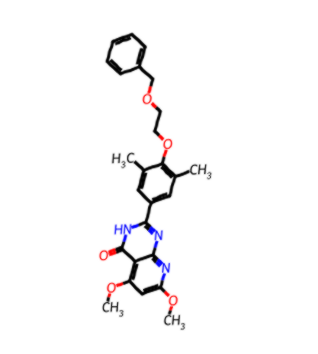 COc1cc(OC)c2c(=O)[nH]c(-c3cc(C)c(OCCOCc4ccccc4)c(C)c3)nc2n1